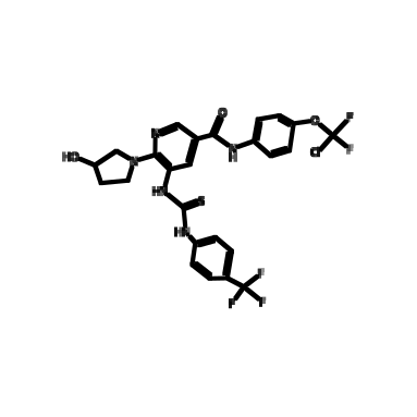 O=C(Nc1ccc(OC(F)(F)Cl)cc1)c1cnc(N2CCC(O)C2)c(NC(=S)Nc2ccc(C(F)(F)F)cc2)c1